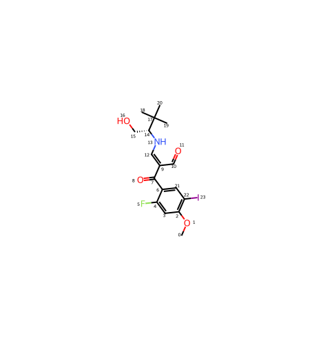 COc1cc(F)c(C(=O)C(C=O)=CN[C@H](CO)C(C)(C)C)cc1I